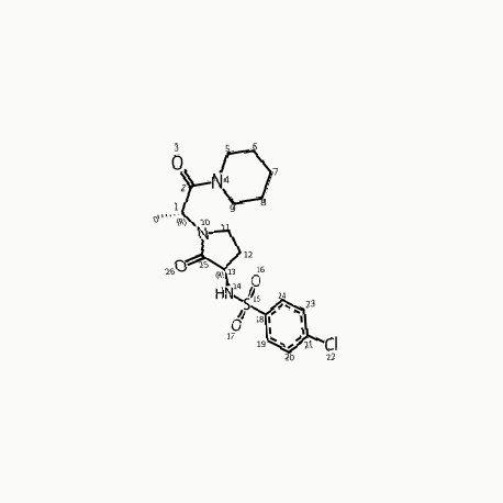 C[C@H](C(=O)N1CCCCC1)N1CC[C@@H](NS(=O)(=O)c2ccc(Cl)cc2)C1=O